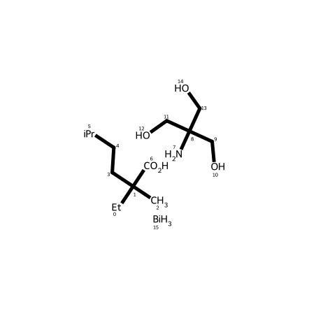 CCC(C)(CCC(C)C)C(=O)O.NC(CO)(CO)CO.[BiH3]